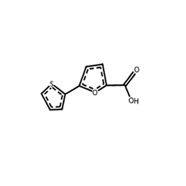 O=C(O)c1ccc(-c2cccs2)o1